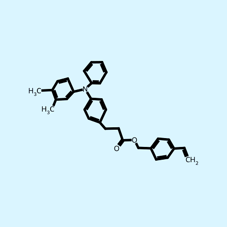 C=Cc1ccc(COC(=O)CCc2ccc(N(c3ccccc3)c3ccc(C)c(C)c3)cc2)cc1